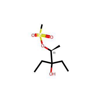 CCC(O)(CC)[C@H](C)OS(C)(=O)=O